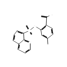 O=C(O)c1ccc(F)cc1NS(=O)(=O)c1cccc2cccnc12